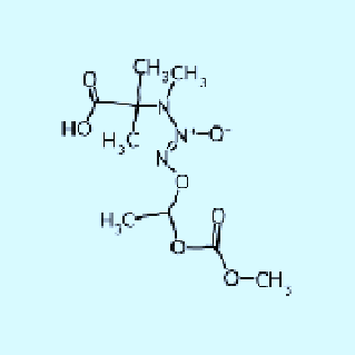 COC(=O)OC(C)ON=[N+]([O-])N(C)C(C)(C)C(=O)O